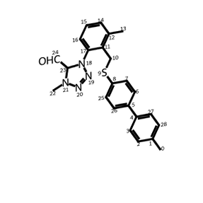 Cc1ccc(-c2ccc(SCc3c(C)cccc3N3N=NN(C)C3C=O)cc2)cc1